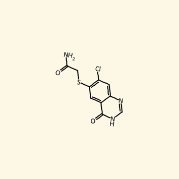 NC(=O)CSc1cc2c(=O)[nH]cnc2cc1Cl